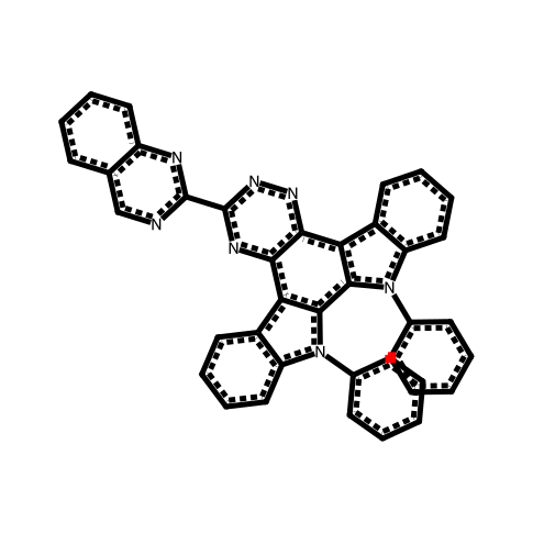 c1ccc(-n2c3ccccc3c3c4nnc(-c5ncc6ccccc6n5)nc4c4c5ccccc5n(-c5ccccc5)c4c32)cc1